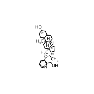 CC(Oc1cccnc1CO)[C@H]1CC[C@H]2[C@@H]3CC=C4C[C@@H](O)CC[C@]4(C)[C@H]3CC[C@]12C